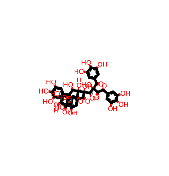 O=C(C(=O)[C@@](O)(C(=O)c1cc(O)c(O)c(O)c1)[C@@H](O)[C@@](O)(C(=O)c1cc(O)c(O)c(O)c1)[C@@](O)(C(=O)c1cc(O)c(O)c(O)c1)C(O)C(=O)c1cc(O)c(O)c(O)c1)c1cc(O)c(O)c(O)c1